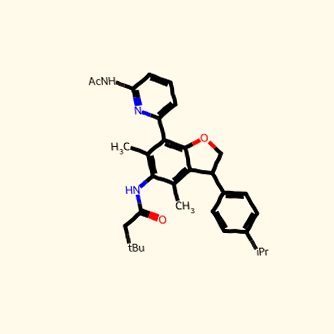 CC(=O)Nc1cccc(-c2c(C)c(NC(=O)CC(C)(C)C)c(C)c3c2OCC3c2ccc(C(C)C)cc2)n1